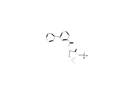 C[Si](C)(C)CC(NC(=O)c1cccc(-c2cccnc2)c1)C(=O)NC1(C#N)CC1